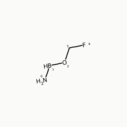 NBOCF